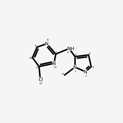 Cn1nccc1Nc1nccc(Cl)n1